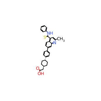 Cc1cc(C(=S)Nc2ccccc2)c2ccc(-c3ccc([C@H]4CC[C@H](CC(=O)O)CC4)cc3)cc2n1